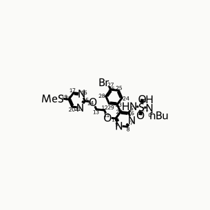 CCCCNS(=O)(=O)Nc1ncnc(OCCOc2ncc(SC)cn2)c1-c1ccc(Br)cc1